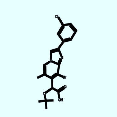 Cc1cn2cc(-c3cccc(Cl)c3)nc2c(Br)c1C(OC(C)(C)C)C(=O)O